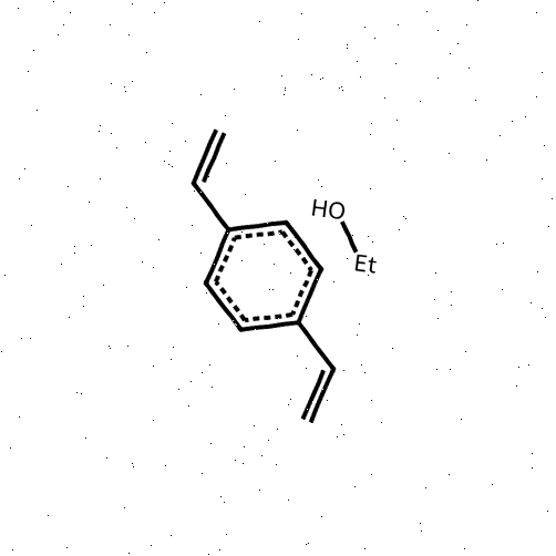 C=Cc1ccc(C=C)cc1.CCO